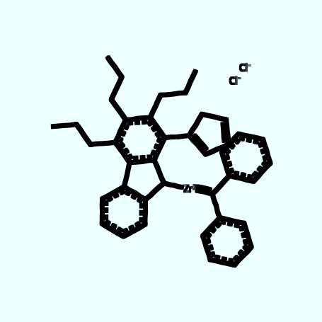 CCCc1c(CCC)c(C2=CC=CC2)c2c(c1CCC)-c1ccccc1[CH]2[Zr+2]=[C](c1ccccc1)c1ccccc1.[Cl-].[Cl-]